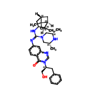 C[C@@H]1CN(C(=Nc2ccc3c(=O)n([C@H](CO)Cc4ccccc4)cnc3c2)NC2C[C@@H]3C[C@@H]([C@H]2C)C3(C)C)C[C@H](C)N1